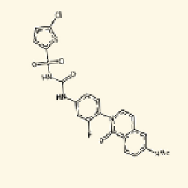 CNc1ccc2c(=O)n(-c3ccc(NC(=O)NS(=O)(=O)c4ccc(Cl)s4)cc3F)ccc2c1